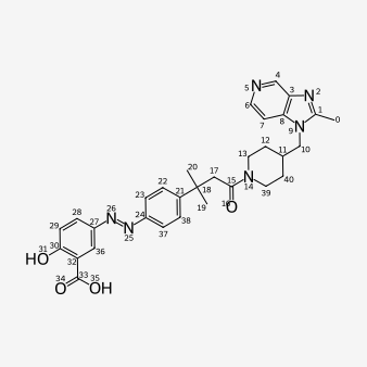 Cc1nc2cnccc2n1CC1CCN(C(=O)CC(C)(C)c2ccc(N=Nc3ccc(O)c(C(=O)O)c3)cc2)CC1